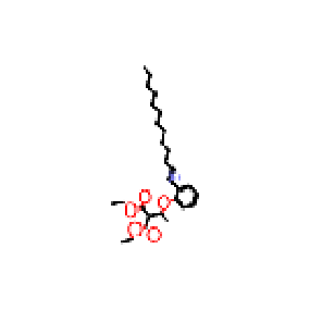 CCCCCCCCCCC/C=C/c1ccccc1OC(C)C(C(=O)OCC)C(=O)OCC